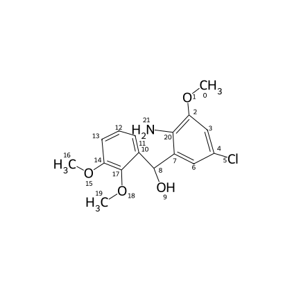 COc1cc(Cl)cc(C(O)c2cccc(OC)c2OC)c1N